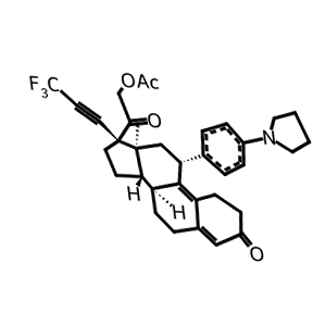 CC(=O)OCC(=O)[C@@]1(C#CC(F)(F)F)CC[C@H]2[C@@H]3CCC4=CC(=O)CCC4=C3[C@@H](c3ccc(N4CCCC4)cc3)C[C@@]21C